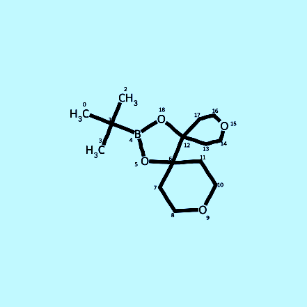 CC(C)(C)B1OC2(CCOCC2)C2(CCOCC2)O1